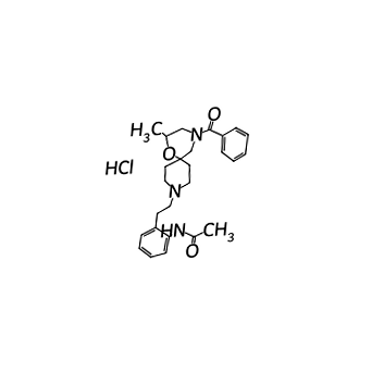 CC(=O)Nc1ccccc1CCN1CCC2(CC1)CN(C(=O)c1ccccc1)CC(C)O2.Cl